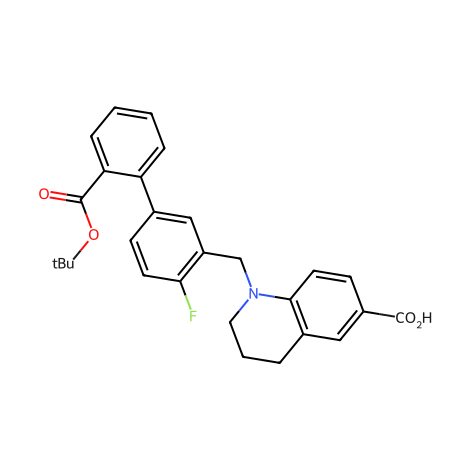 CC(C)(C)OC(=O)c1ccccc1-c1ccc(F)c(CN2CCCc3cc(C(=O)O)ccc32)c1